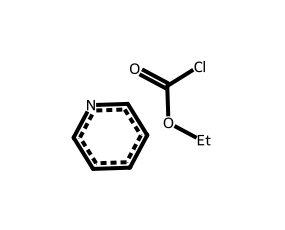 CCOC(=O)Cl.c1ccncc1